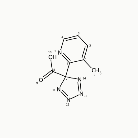 Cc1cccnc1C1(C(=O)O)N=NN=N1